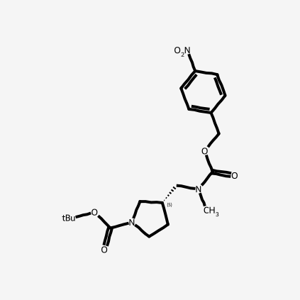 CN(C[C@@H]1CCN(C(=O)OC(C)(C)C)C1)C(=O)OCc1ccc([N+](=O)[O-])cc1